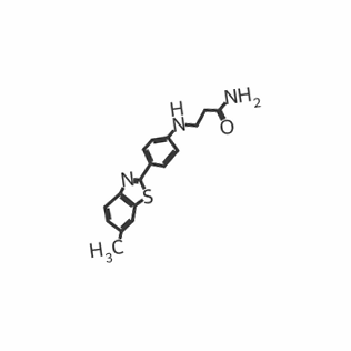 Cc1ccc2nc(-c3ccc(NCCC(N)=O)cc3)sc2c1